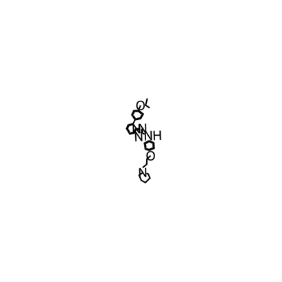 CC(C)Oc1ccc(-c2cccc3nc(Nc4ccc(OCCCN5CCCCC5)cc4)nn23)cc1